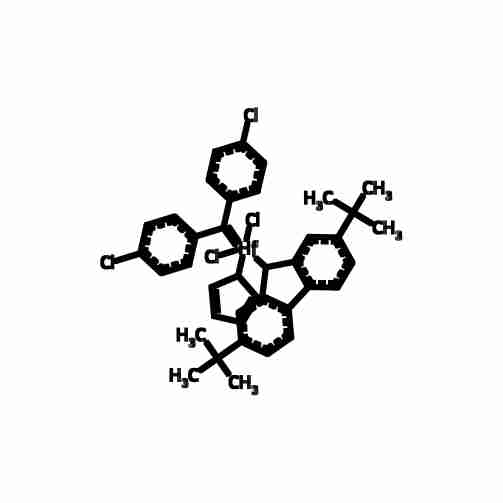 CC(C)(C)c1ccc2c(c1)[CH]([Hf]([Cl])([Cl])(=[C](c1ccc(Cl)cc1)c1ccc(Cl)cc1)[CH]1C=CC=C1)c1cc(C(C)(C)C)ccc1-2